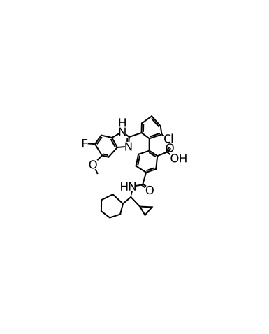 COc1cc2nc(-c3cccc(Cl)c3-c3ccc(C(=O)N[C@H](C4CCCCC4)C4CC4)cc3C(=O)O)[nH]c2cc1F